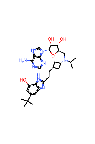 CC(C)N(C[C@H]1O[C@@H](n2cnc3c(N)ncnc32)[C@H](O)[C@@H]1O)[C@H]1C[C@H](CCc2nc3cc(C(C)(C)C)cc(O)c3[nH]2)C1